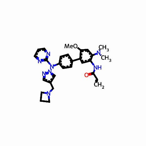 C=CC(=O)Nc1cc(-c2ccc(N(c3ncccn3)n3cc(CN4CCC4)cn3)cc2)c(OC)cc1N(C)C